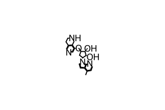 Cc1ccnc2c1ccn2C1CC(Oc2cncc3c2CNCC3)[C@@H](O)[C@H]1O